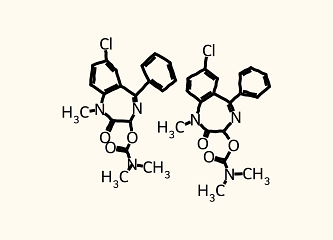 CN(C)C(=O)OC1N=C(c2ccccc2)c2cc(Cl)ccc2N(C)C1=O.CN(C)C(=O)OC1N=C(c2ccccc2)c2cc(Cl)ccc2N(C)C1=O